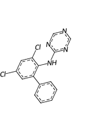 Clc1cc(Cl)c(Nc2ncncn2)c(-c2ccccc2)c1